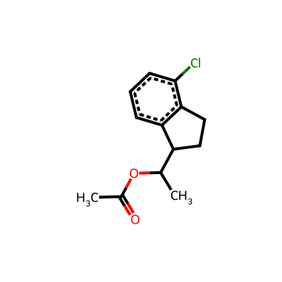 CC(=O)OC(C)C1CCc2c(Cl)cccc21